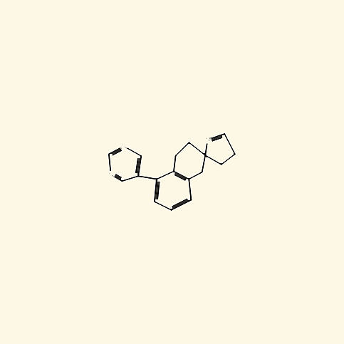 C1=NC2(CC1)CCc1c(cccc1-c1cncnc1)C2